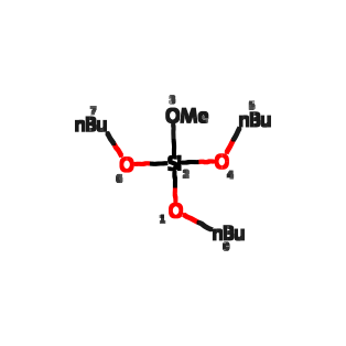 CCCCO[Si](OC)(OCCCC)OCCCC